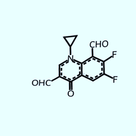 O=Cc1cn(C2CC2)c2c(C=O)c(F)c(F)cc2c1=O